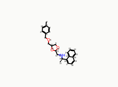 Cc1ccc(COCC2COC(CN[C@H](C)c3cccc4ccccc34)O2)cc1